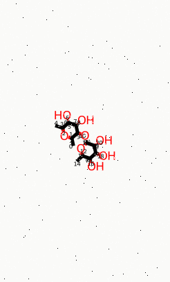 CC1OC(C)[C@H](O)[C@H](O)C1O[C@H]1OC(C)[C@H](O)C(O)[C@H]1O